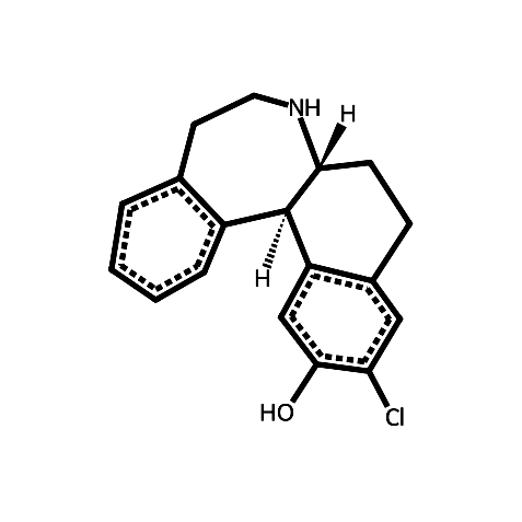 Oc1cc2c(cc1Cl)CC[C@H]1NCCc3ccccc3[C@H]21